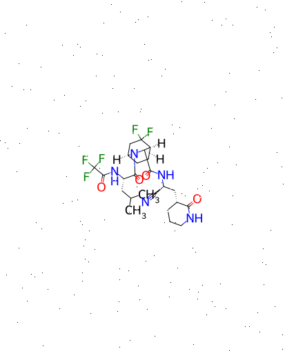 CC(C)C[C@H](NC(=O)C(F)(F)F)C(=O)N1[C@H]2CC[C@@H]([C@H]1C(=O)N[C@H](C#N)C[C@H]1CCCNC1=O)C(F)(F)C2